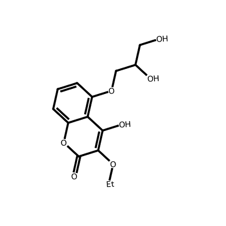 CCOc1c(O)c2c(OCC(O)CO)cccc2oc1=O